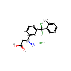 Cc1ccccc1C(F)(F)c1cccc([C@@H](N)CC(=O)O)c1.Cl